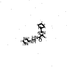 Cc1nc(-c2ccccn2)sc1C(=O)NCCNc1cnccn1